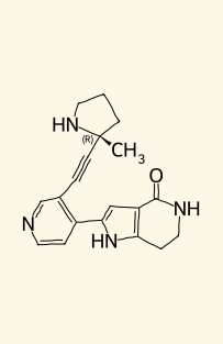 C[C@]1(C#Cc2cnccc2-c2cc3c([nH]2)CCNC3=O)CCCN1